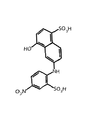 O=[N+]([O-])c1ccc(Nc2ccc3c(S(=O)(=O)O)ccc(O)c3c2)c(S(=O)(=O)O)c1